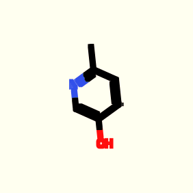 Cc1c[c]c(O)cn1